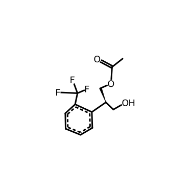 CC(=O)OC[C@@H](CO)c1ccccc1C(F)(F)F